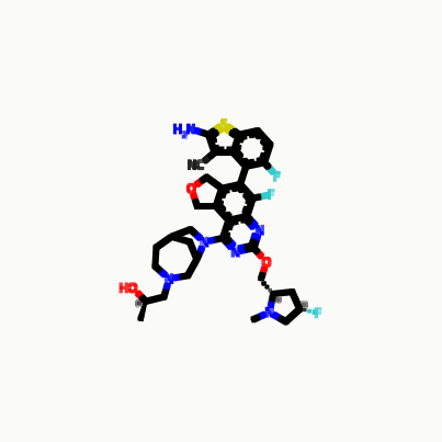 C[C@@H](O)CN1CCC2CC(C1)N(c1nc(OC[C@@H]3C[C@H](F)CN3C)nc3c(F)c(-c4c(F)ccc5sc(N)c(C#N)c45)c4c(c13)COC4)C2